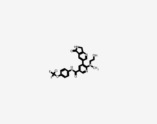 CN(CCO)c1ncc(C(=O)Nc2ccc(OC(F)(F)Cl)cc2)cc1-c1cnc2c(c1)C(=O)NC2